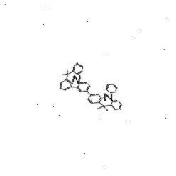 CC1(C)c2ccccc2N(c2ccccc2)c2cc(-c3ccc4c(c3)c3cccc5c3n4-c3ccccc3C5(C)C)ccc21